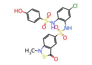 Cn1sc(=O)c2cc(S(=O)(=O)Nc3cc(Cl)ccc3NS(=O)(=O)c3ccc(O)cc3)ccc21